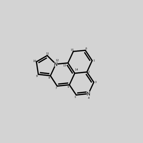 C1=Cc2cncc3cc4cccn4c(c23)C1